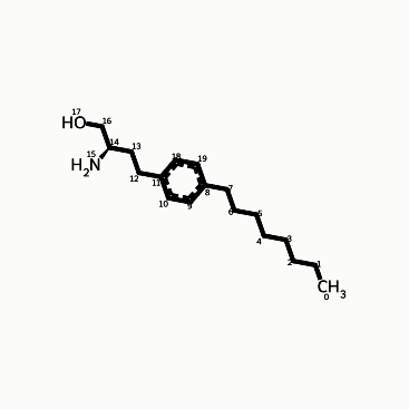 CCCCCCCCc1ccc(CC[C@@H](N)CO)cc1